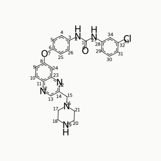 O=C(Nc1ccc(Oc2ccc3ncc(CN4CCNCC4)nc3c2)cc1)Nc1cccc(Cl)c1